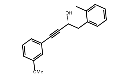 COc1cccc(C#C[C@H](O)Cc2ccccc2C)c1